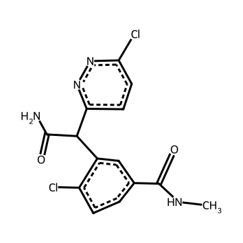 CNC(=O)c1ccc(Cl)c(C(C(N)=O)c2ccc(Cl)nn2)c1